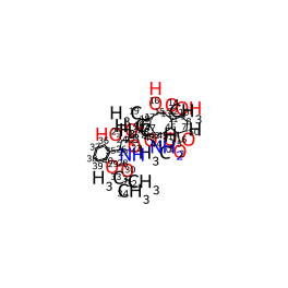 CC(=O)O[C@@]12CO[C@@H]1C[C@H](O)[C@@]1(C)C(=O)[C@H](O)C3=C(C)[C@@H](OC(=O)[C@@H](O)[C@@H](NC(=O)OC(C)(C)C)c4ccccc4)C[C@@](ON)(C[C@H]21)C3(C)C